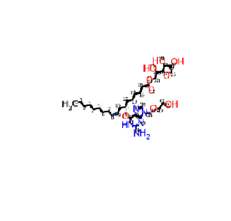 CCCCCCCC/C=C\CCCCCCCC(=O)OC[C@@H](O)[C@H]1OC[C@H](O)[C@H]1O.Nc1nc2c(ncn2COCCO)c(=O)[nH]1